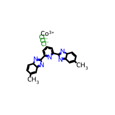 CC1=CC2=NC(c3cccc(C4=NC5C=CC(C)=CC5=N4)n3)=NC2C=C1.[Cl-].[Cl-].[Cl-].[Co+3]